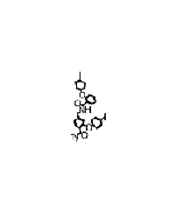 CN(C)C(=O)c1ccc(CNC(=O)c2ccccc2Oc2ccc(I)cc2)cc1Oc1ccc(I)cc1